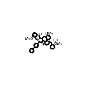 COc1ccccc1CC1C2=C(N=C3C=CC(Cc4ccccc4OC)(C(=O)O)C=C32)C(c2ccc(-c3ccccc3)cc2)N(Cc2ccccc2OC)C1C(N)=O